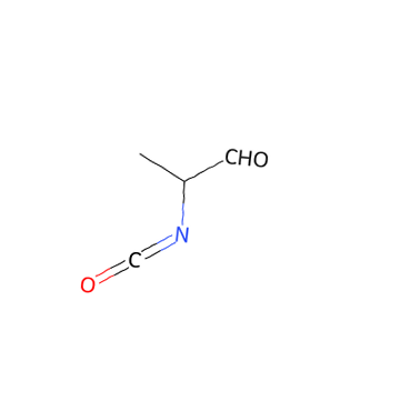 CC(C=O)N=C=O